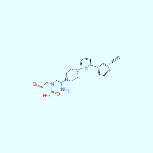 N#Cc1cccc(-c2cccc(N3CCN(C(N)CN(CC=O)C(=O)O)CC3)n2)c1